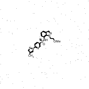 COCCn1ncc2cccc(NS(=O)(=O)c3ccc(-n4cc(C)cn4)nc3)c21